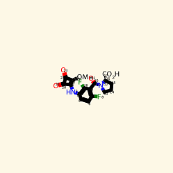 COc1c(Nc2ccc(F)c(C(=O)N3CCC[C@H]3C(=O)O)c2F)c(=O)c1=O